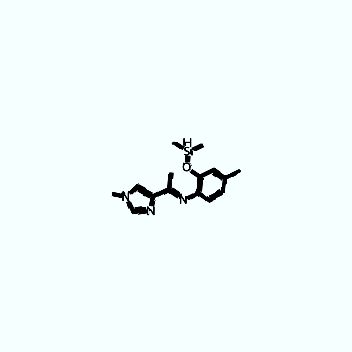 CC(=Nc1ccc(C)cc1O[SiH](C)C)c1cn(C)cn1